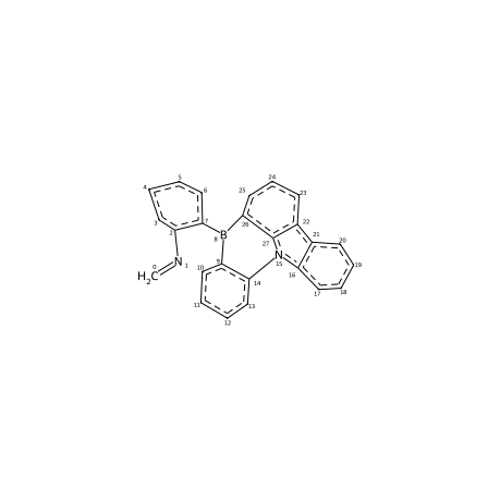 C=Nc1ccccc1B1c2ccccc2-n2c3ccccc3c3cccc1c32